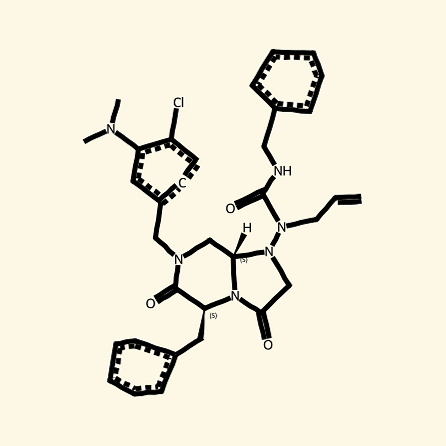 C=CCN(C(=O)NCc1ccccc1)N1CC(=O)N2[C@@H](Cc3ccccc3)C(=O)N(Cc3ccc(Cl)c(N(C)C)c3)C[C@@H]21